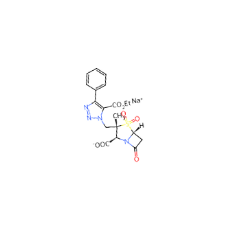 CCOC(=O)c1c(-c2ccccc2)nnn1C[C@@]1(C)[C@H](C(=O)[O-])N2C(=O)C[C@H]2S1(=O)=O.[Na+]